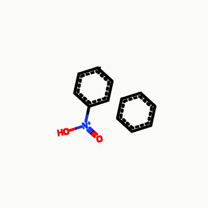 O=[N+](O)c1cc[c]cc1.c1ccccc1